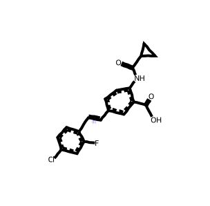 O=C(O)c1cc(/C=C/c2ccc(Cl)cc2F)ccc1NC(=O)C1CC1